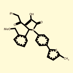 COCc1ccccc1C1C(C(=O)CC(C)C)=C(O)C(=O)N1c1ccc(-c2ccc(C)s2)cc1